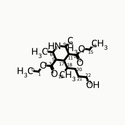 CCOC(=O)C1C(C)NC(C)C(C(=O)OCC)C1C(C)CCCO